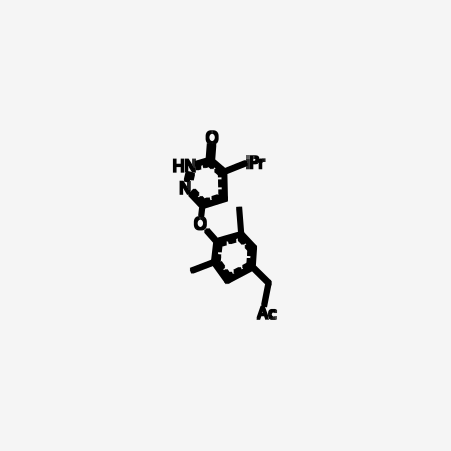 CC(=O)Cc1cc(C)c(Oc2cc(C(C)C)c(=O)[nH]n2)c(C)c1